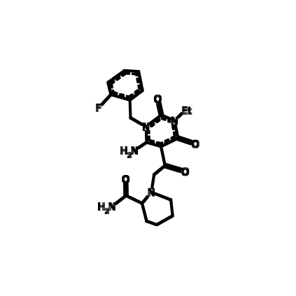 CCn1c(=O)c(C(=O)CN2CCCCC2C(N)=O)c(N)n(Cc2ccccc2F)c1=O